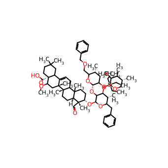 CC[Si](CC)(CC)OC1[C@H](OC2[C@H](O[C@H]3CCC4(C)C5CC=C6C7CC(C)(C)CC[C@]7(C(=O)O)C(OC)C[C@@]6(C)[C@@]5(C)CC[C@H]4[C@@]3(C)C=O)OC(Cc3ccccc3)[C@@H](C)[C@@H]2O[C@@H]2OC[C@@H](C)[C@H](C)C2C)OC(COCc2ccccc2)[C@H](C)[C@@H]1C